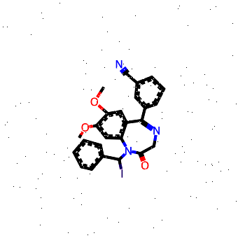 COc1cc2c(cc1OC)N(C(I)c1ccccc1)C(=O)CN=C2c1cccc(C#N)c1